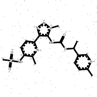 Cc1ccc(C(C)OC(=O)Nc2c(-c3ccc(NS(C)(=O)=O)c(C)n3)nnn2C)cn1